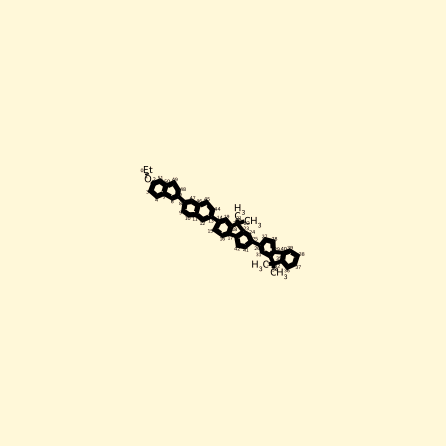 CCOc1ccc2cc(-c3ccc4cc(-c5ccc6c(c5)C(C)(C)c5cc(-c7ccc8c(c7)C(C)(C)c7ccccc7-8)ccc5-6)ccc4c3)ccc2c1